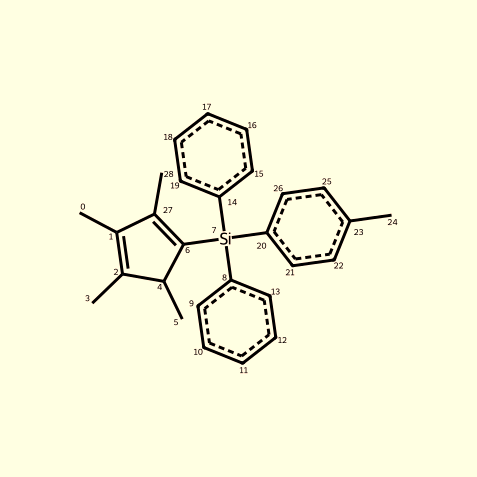 CC1=C(C)C(C)C([Si](c2ccccc2)(c2ccccc2)c2ccc(C)cc2)=C1C